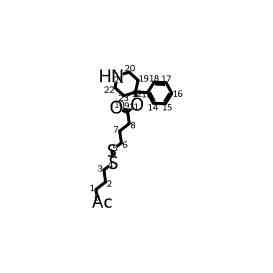 CC(=O)CCCSSCCCC(=O)OC1(c2ccccc2)CCNCC1